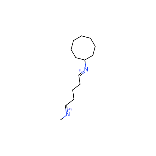 C/N=C/CCC/C=N/C1CCCCCCC1